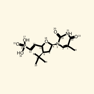 Cc1cn([C@H]2C[C@@H](C(C)(C)C)C(/C=C/P(=O)(O)O)O2)c(=O)[nH]c1=O